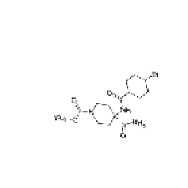 CCC1CCC(C(=O)NC2(C(N)=O)CCN(C(=O)OC(C)(C)C)CC2)CC1